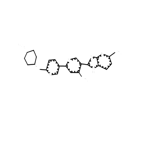 Cc1ccc2[nH]c(-c3cnc(-c4ccc(O[C@H]5CC[C@@H](C)CC5)nc4)cc3C)nc2n1